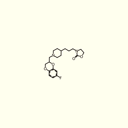 O=C1OCCN1CCCC1CCN(CC2COc3ccc(F)cc3O2)CC1